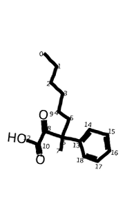 CCCCCCC(C)(C(=O)C(=O)O)c1ccccc1